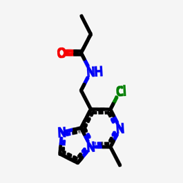 CCC(=O)NCc1c(Cl)nc(C)n2ccnc12